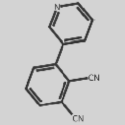 N#Cc1cccc(-c2c[c]cnc2)c1C#N